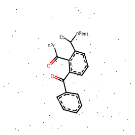 CCCCCC(CC)c1cccc(C(=O)c2ccccc2)c1C(=O)CCC